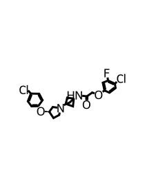 O=C(COc1ccc(Cl)c(F)c1)NC12CC(N3CC[C@@H](Oc4ccc(Cl)cc4)C3)(C1)C2